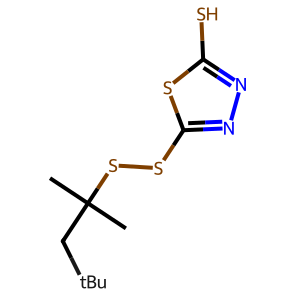 CC(C)(C)CC(C)(C)SSc1nnc(S)s1